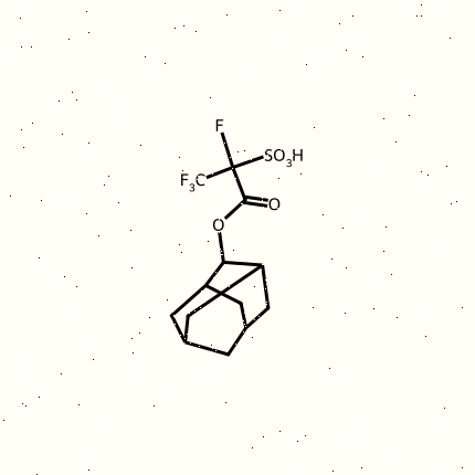 O=C(OC1C2CC3CC(C2)CC1C3)C(F)(C(F)(F)F)S(=O)(=O)O